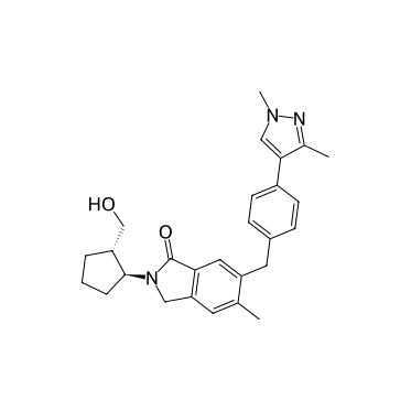 Cc1cc2c(cc1Cc1ccc(-c3cn(C)nc3C)cc1)C(=O)N([C@H]1CCC[C@@H]1CO)C2